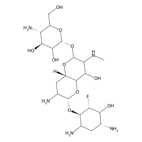 CNC1C(O[C@H]2OC(CO)[C@@H](N)[C@H](O)C2O)O[C@H]2CC(N)[C@@H](O[C@@H]3C(N)C[C@@H](N)C(O)[C@H]3F)OC2C1O